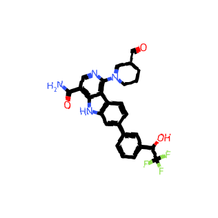 NC(=O)c1cnc(N2CCC[C@H](C=O)C2)c2c1[nH]c1cc(-c3cccc(C(O)C(F)(F)F)c3)ccc12